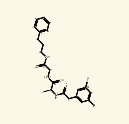 C[C@H](NC(=O)Cc1cc(F)cc(F)c1)C(=O)NCC(=O)OCCCc1ccccc1